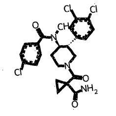 CN(C(=O)c1ccc(Cl)cc1)[C@@H]1CCN(C(=O)C2(C(N)=O)CC2)C[C@H]1c1ccc(Cl)c(Cl)c1